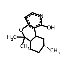 C[C@@H]1CCC2C(C1)c1c(ccnc1O)OC2(C)C